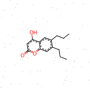 CCCc1cc2oc(=O)cc(O)c2cc1CCC